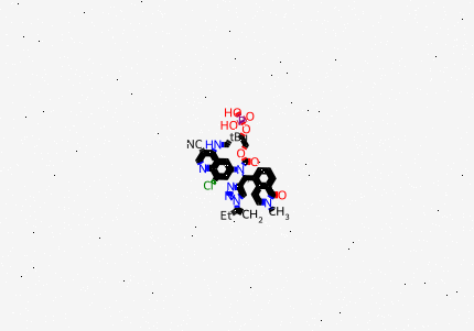 C=C(CC)n1cc([C@H](c2cccc3c(=O)n(C)ccc23)N(C(=O)OCCOP(=O)(O)O)c2cc(Cl)c3ncc(C#N)c(NCC(C)(C)C)c3c2)nn1